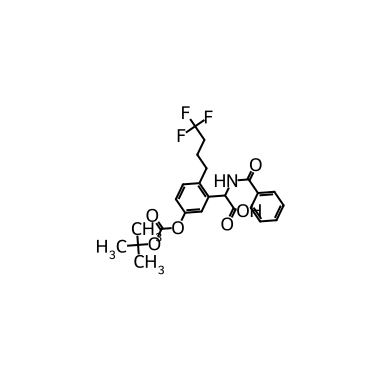 CC(C)(C)OC(=O)Oc1ccc(CCCC(F)(F)F)c(C(NC(=O)c2ccccc2)C(=O)O)c1